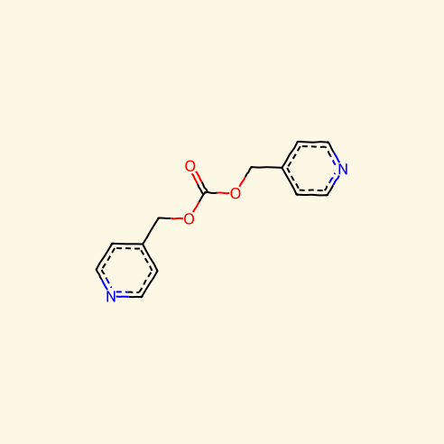 O=C(OCc1ccncc1)OCc1ccncc1